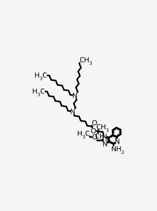 CCCCCCCCCN(CCCCCCCCC)CCCN(CCCCCCCCC)CCCCCC(=O)OC(C)(C)Cn1c(COCC)nc2c(N)nc3ccccc3c21